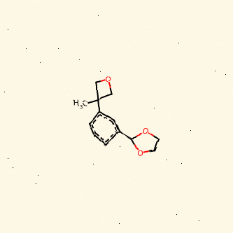 CC1(c2cccc(C3OCCO3)c2)COC1